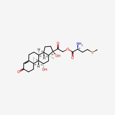 CSCC[C@H](N)C(=O)OCC(=O)[C@@]1(O)CC[C@H]2[C@@H]3CCC4=CC(=O)CC[C@]4(C)[C@H]3[C@@H](O)C[C@@]21C